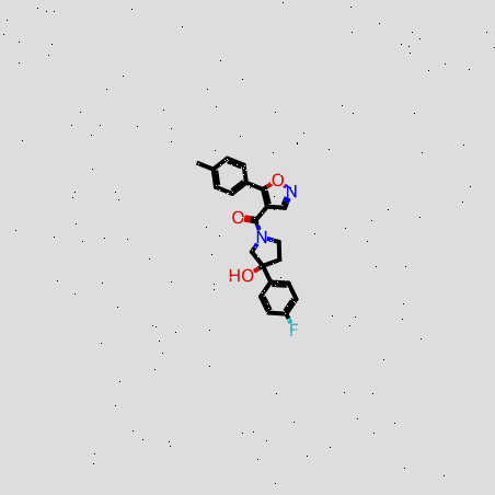 Cc1ccc(-c2oncc2C(=O)N2CCC(O)(c3ccc(F)cc3)C2)cc1